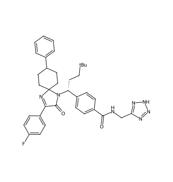 CC(C)(C)CC[C@H](c1ccc(C(=O)NCc2nn[nH]n2)cc1)N1C(=O)C(c2ccc(F)cc2)=NC12CCC(c1ccccc1)CC2